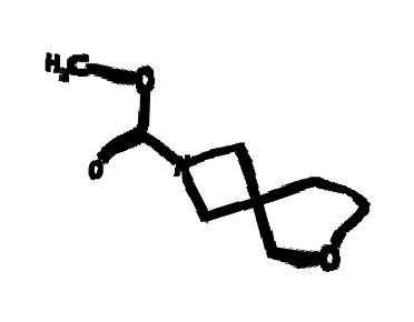 COC(=O)N1CC2(CCOC2)C1